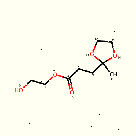 CC1(CCC(=O)OCCO)OCCO1